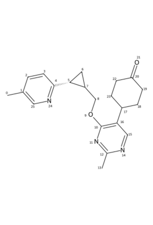 Cc1ccc([C@@H]2CC2COc2nc(C)ncc2C2CCC(=O)CC2)nc1